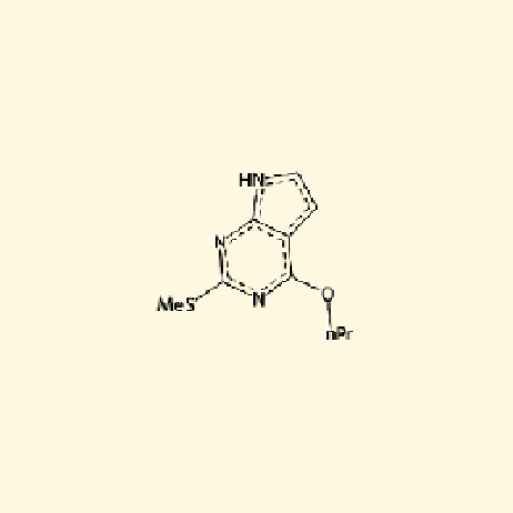 CCCOc1nc(SC)nc2[nH]ccc12